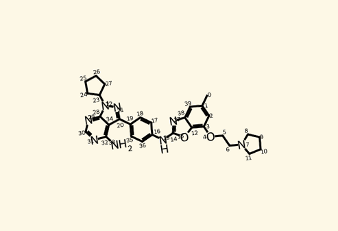 Cc1cc(OCCN2CCCC2)c2oc(Nc3ccc(-c4nn(C5CCCC5)c5ncnc(N)c45)cc3)nc2c1